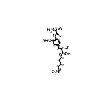 CCCC(N)C(=O)Oc1ccc(/C=C/C(O)OCCCCO[N+](=O)[O-])cc1OC.Cl